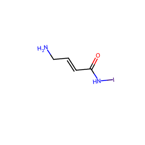 NC/C=C/C(=O)NI